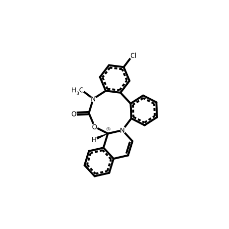 CN1C(=O)O[C@H]2c3ccccc3C=CN2c2ccccc2-c2cc(Cl)ccc21